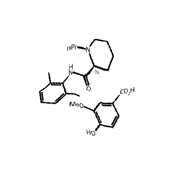 CCCN1CCCC[C@H]1C(=O)Nc1c(C)cccc1C.COc1cc(C(=O)O)ccc1O